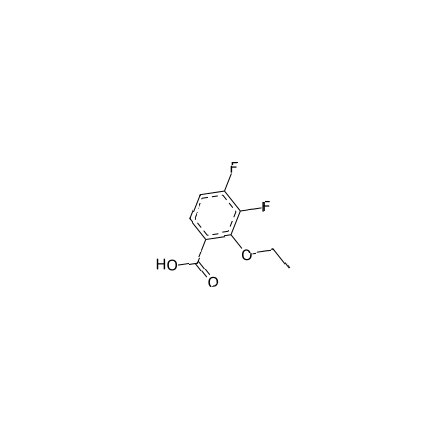 CCOc1c(C(=O)O)ccc(F)c1F